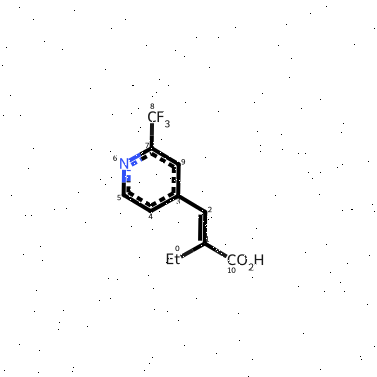 CC/C(=C\c1ccnc(C(F)(F)F)c1)C(=O)O